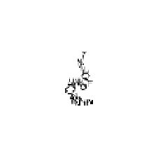 Cc1cc(F)c(C(=O)Nc2cccc(-n3cc(C(C)C)nn3)c2)cc1-n1cnc(C2CC2)c1